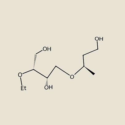 CCO[C@H](CO)[C@@H](O)CO[C@H](C)CCO